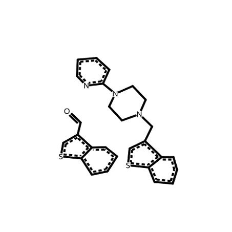 O=Cc1csc2ccccc12.c1ccc(N2CCN(Cc3csc4ccccc34)CC2)nc1